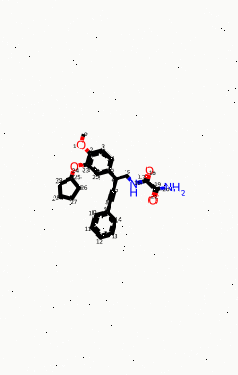 COc1ccc(C(C#Cc2ccccc2)CNC(=O)C(N)=O)cc1OC1CCCC1